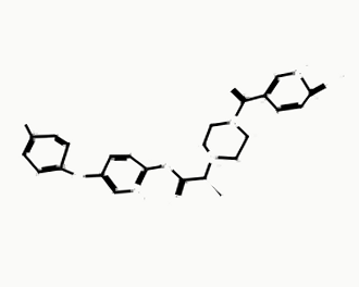 C[C@@H](C(=O)Nc1ccc(Oc2ccc(F)cc2)cn1)N1CCN(C(=O)c2ccc(=O)[nH]c2)CC1